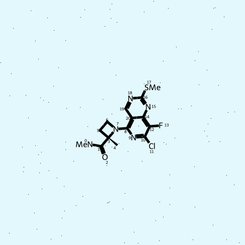 CNC(=O)[C@]1(C)CCN1c1nc(Cl)c(F)c2nc(SC)ncc12